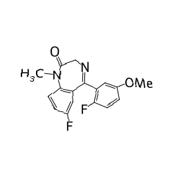 COc1ccc(F)c(C2=NCC(=O)N(C)c3ccc(F)cc32)c1